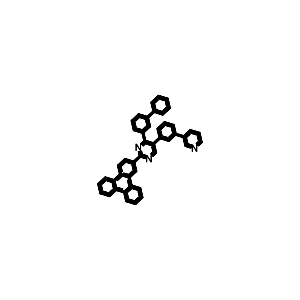 c1ccc(-c2cccc(-c3nc(-c4ccc5c6ccccc6c6ccccc6c5c4)ncc3-c3cccc(-c4cccnc4)c3)c2)cc1